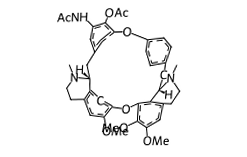 COc1cc2c3cc1Oc1c(OC)c(OC)cc4c1[C@H](Cc1ccc(cc1)Oc1cc(cc(NC(C)=O)c1OC(C)=O)C[C@H]3N(C)CC2)N(C)CC4